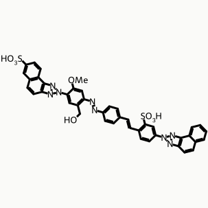 COc1cc(N=Nc2ccc(C=Cc3ccc(-n4n5c6ccc7ccccc7c6n45)cc3S(=O)(=O)O)cc2)c(CO)cc1-n1n2c3ccc4cc(S(=O)(=O)O)ccc4c3n12